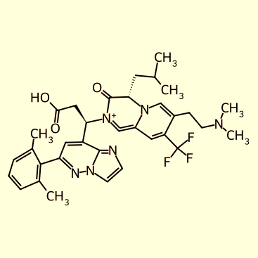 Cc1cccc(C)c1-c1cc([C@@H](CC(=O)O)[N+]2=C=C3C=C(C(F)(F)F)C(CCN(C)C)=CN3[C@@H](CC(C)C)C2=O)c2nccn2n1